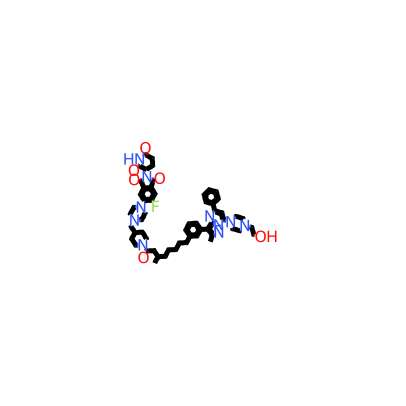 Cc1nn2c(N3CCN(CCO)CC3)cc(-c3ccccc3)nc2c1-c1cccc(CCCCCC(C)CC(=O)N2CCC(CN3CCN(c4cc5c(cc4F)C(=O)N(C4CCC(=O)NC4=O)C5=O)CC3)CC2)c1